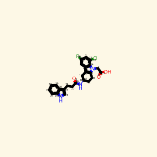 O=C(O)Cn1c2c(c3cc(F)cc(Cl)c31)C[C@@H](NC(=O)CCc1c[nH]c3ccccc13)CC2